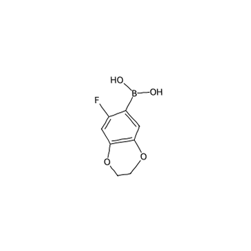 OB(O)c1cc2c(cc1F)OCCO2